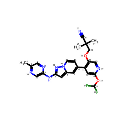 Cc1cnc(Nc2cc3cc(-c4cc(OC(F)F)ncc4OCC(C)(C)C#N)ccn3n2)cn1